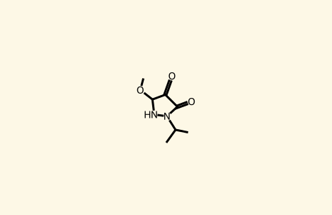 COC1NN(C(C)C)C(=O)C1=O